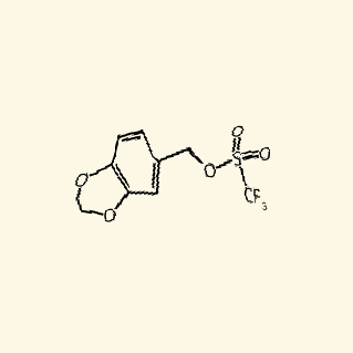 O=S(=O)(OCc1ccc2c(c1)OCO2)C(F)(F)F